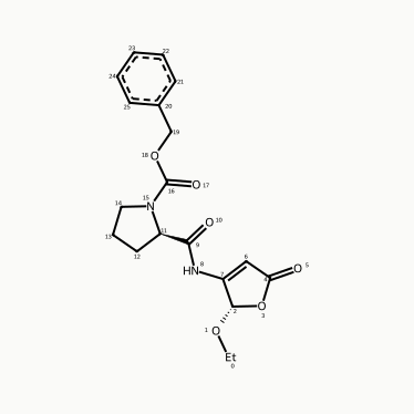 CCO[C@H]1OC(=O)C=C1NC(=O)[C@H]1CCCN1C(=O)OCc1ccccc1